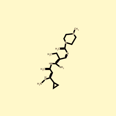 C=C(/C=C(\NN)C1CC1)N/C(N)=C(/C=N\C(=C)N1CCN(C)CC1)CC